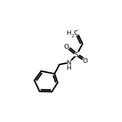 C=CS(=O)(=O)N[CH]c1ccccc1